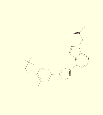 CC(Oc1ccc(-c2nc(-c3cccc4c3ccn4CC(N)=O)no2)cc1Br)C(F)(F)F